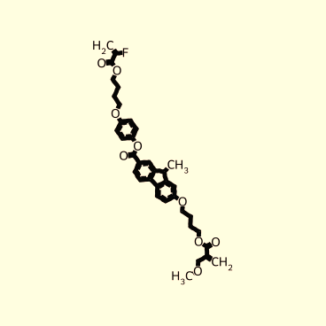 C=C(F)C(=O)OCCCCOc1ccc(OC(=O)c2ccc3c(c2)C(C)c2cc(OCCCCOC(=O)C(=C)COC)ccc2-3)cc1